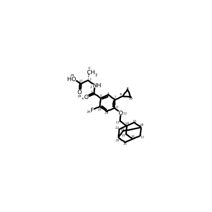 C[C@H](NC(=O)c1cc(C2CC2)c(OCC23CC4CC(CC(C4)C2)C3)cc1F)C(=O)O